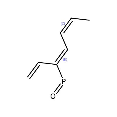 C=C/C(=C\C=C/C)P=O